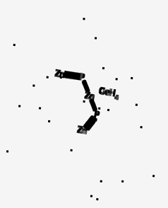 [GeH4].[Zn]=[P][Zn][P]=[Zn]